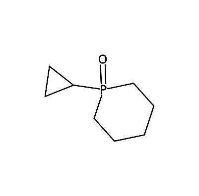 O=P1(C2CC2)CCCCC1